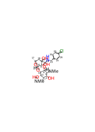 CN[C@@H]1[C@H](O)[C@H](NC)[C@H]2O[C@]3(O)[C@H](OC2[C@H]1O)O[C@H](C)C[C@@]3(O)CNCc1ccc(Cl)cc1